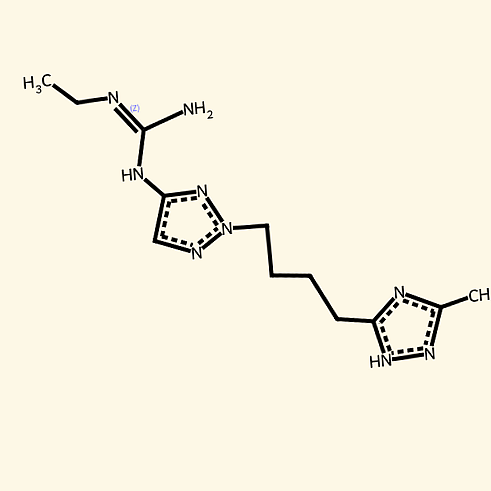 CC/N=C(/N)Nc1cnn(CCCCc2nc(C)n[nH]2)n1